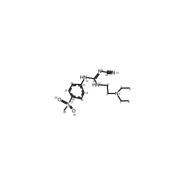 CCN(CC)CCN/C(=N\C#N)Nc1ccc(S(C)(=O)=O)cc1